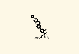 COCCN(C)C(=O)c1ccc(-c2ccc3c(c2)CCC2(CCN(C4CCC4)CC2)O3)cc1F